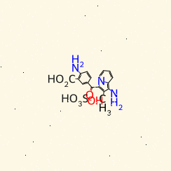 Cc1c(N)c2ccccn2c1C(=O)c1ccc(N)c(C(=O)O)c1.O=S(=O)(O)O